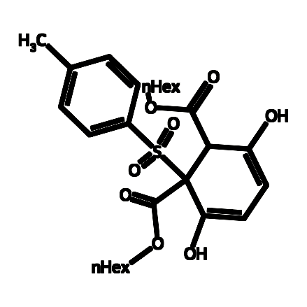 CCCCCCOC(=O)C1C(O)=CC=C(O)C1(C(=O)OCCCCCC)S(=O)(=O)c1ccc(C)cc1